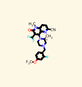 C[C@H]1CN(Cc2ccc(OC(F)(F)F)cc2F)CCN1c1c(C(F)F)c(=O)n(C)c2ccc(C#N)nc12